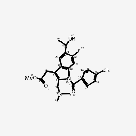 COC(=O)Cc1c(CN(C)C)n(C(=O)c2ccc(Cl)cc2)c2cc(F)c(C(C)O)cc12